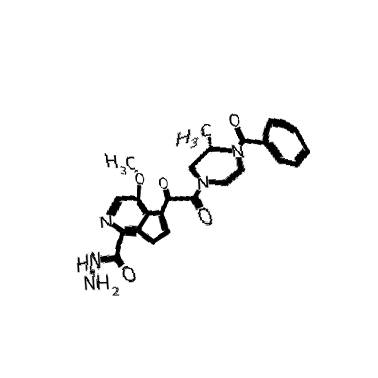 COc1cnc(C(=O)NN)c2c1C(C(=O)C(=O)N1CCN(C(=O)c3ccccc3)[C@H](C)C1)=CC2